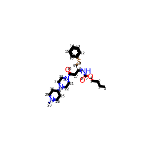 CCCCOC(=O)N[C@@H](CSc1ccccc1)CC(=O)N1CCN(C2CCN(C)CC2)CC1